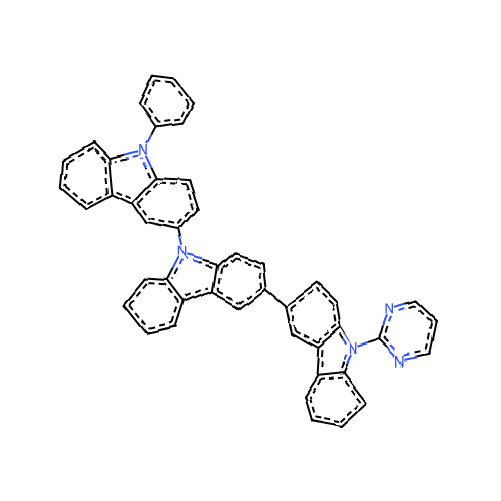 c1ccc(-n2c3ccccc3c3cc(-n4c5ccccc5c5cc(-c6ccc7c(c6)c6ccccc6n7-c6ncccn6)ccc54)ccc32)cc1